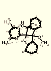 COC(c1ccccc1)(c1ccccc1)C(O)(C(=O)O)c1nc(C)cc(C)n1